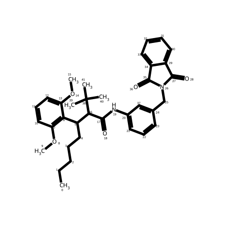 CCCCCC(c1c(OC)cccc1OC)C(C(=O)Nc1cccc(CN2C(=O)c3ccccc3C2=O)c1)C(C)(C)C